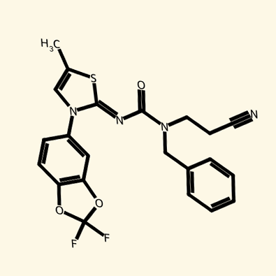 Cc1cn(-c2ccc3c(c2)OC(F)(F)O3)c(=NC(=O)N(CCC#N)Cc2ccccc2)s1